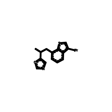 CC(C)c1csc2c(CC(C)c3cnco3)cccc12